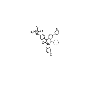 COc1ccc(CN2N=C(C3CCCCC3)c3cc(-c4cccnc4)ccc3N(c3ccc(NC(=O)[C@@H](N)C(C)C)cc3)C2=O)cc1